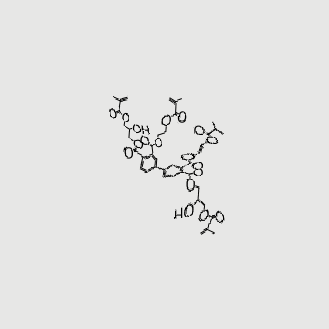 C=C(C)C(=O)OCCOC(=O)c1cc(-c2ccc(C(=O)OCC(O)COC(=O)C(=C)C)c(C(=O)OCCOC(=O)C(=C)C)c2)ccc1C(=O)OCC(O)COC(=O)C(=C)C